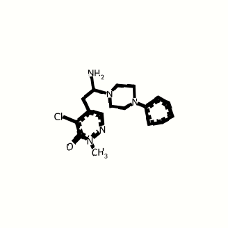 Cn1ncc(CC(N)N2CCN(c3ccccc3)CC2)c(Cl)c1=O